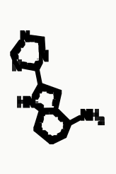 Nc1cccc2[nH]c(-c3ncncn3)cc12